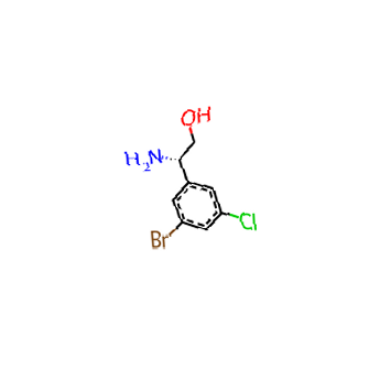 N[C@H](CO)c1cc(Cl)cc(Br)c1